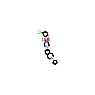 O=S(=O)(c1cccc(Cl)c1)N1CCN(c2ccc3c(c2)CCN(C2CCCC2)CC3)CC1